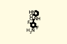 Nc1cc(F)c(C(=O)Nc2ccc[nH]c2=O)cc1F